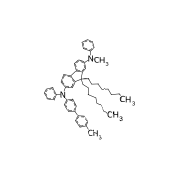 CCCCCCCCC1(CCCCCCCC)c2cc(N(C)c3ccccc3)ccc2-c2ccc(N(c3ccccc3)c3ccc(-c4ccc(C)cc4)cc3)cc21